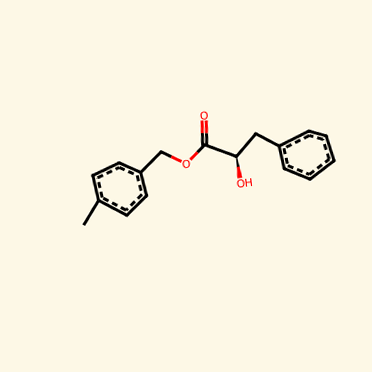 Cc1ccc(COC(=O)[C@H](O)Cc2ccccc2)cc1